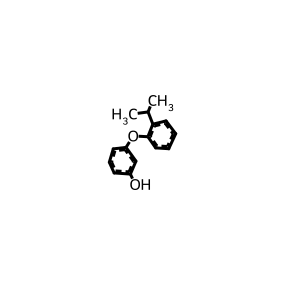 CC(C)c1ccccc1Oc1cccc(O)c1